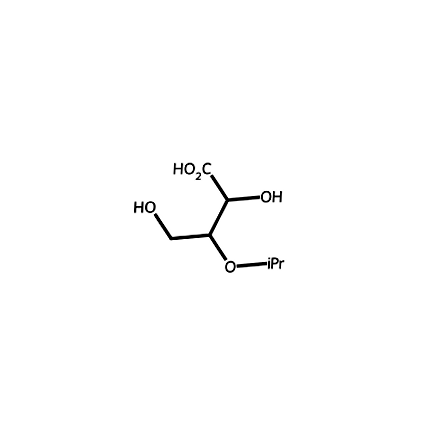 CC(C)OC(CO)C(O)C(=O)O